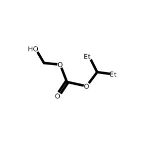 CCC(CC)OC(=O)OCO